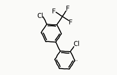 FC(F)(F)c1cc(-c2ccc[c]c2Cl)ccc1Cl